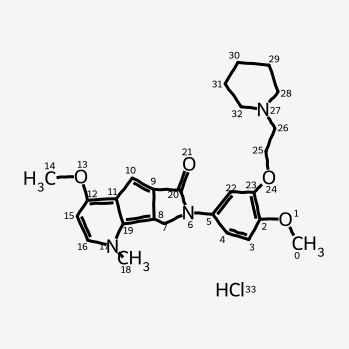 COc1ccc(N2Cc3c(cc4c(OC)ccn(C)c3-4)C2=O)cc1OCCN1CCCCC1.Cl